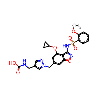 COc1ccccc1S(=O)(=O)Nc1noc2cc(Cn3cc(CNC(=O)O)cn3)cc(OC3CC3)c12